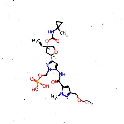 C=C[C@@]1(OC(=O)NC2(C)CC2)CO[C@H](c2cc(NC(=O)c3cc(COC)nn3C)n(COP(=O)(O)O)n2)C1